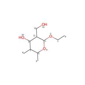 CCOC1OC(C)C(C)C(O)C1CO